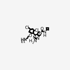 CCNCCOc1cc(Cl)cc(Cl)c1-c1nc(N)nc2c1CN(C(=O)NC1CCC1)C2